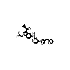 O=C(c1cn(CC(F)F)c2ccc(Nc3nccc(-n4cc(CN5CCCO5)cn4)n3)cc12)C1CC1